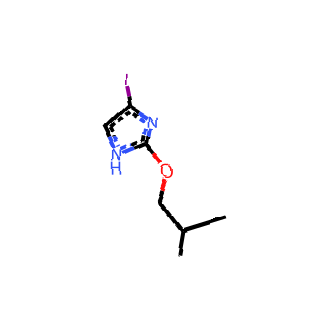 CC(C)COc1nc(I)c[nH]1